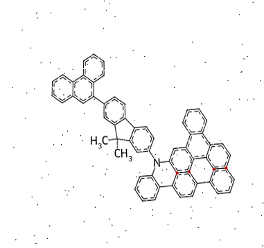 CC1(C)c2cc(-c3cc4ccccc4c4ccccc34)ccc2-c2ccc(N(c3ccc4c5ccccc5c5ccccc5c4c3)c3ccccc3-c3ccc(-c4ccccc4)cc3)cc21